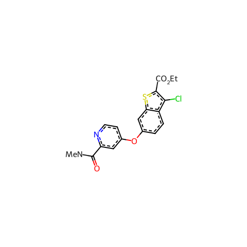 CCOC(=O)c1sc2cc(Oc3ccnc(C(=O)NC)c3)ccc2c1Cl